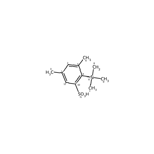 Cc1cc(C)c([Si](C)(C)C)c(S(=O)(=O)O)c1